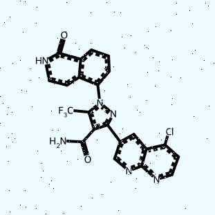 NC(=O)c1c(-c2cnc3nccc(Cl)c3c2)nn(-c2cccc3c(=O)[nH]ccc23)c1C(F)(F)F